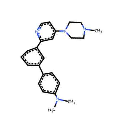 CN1CCN(c2ccnc(-c3cccc(-c4ccc(N(C)C)cc4)c3)c2)CC1